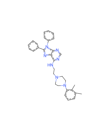 Cc1cccc(N2CCN(CCNc3ncnc4c3nc(-c3ccccc3)n4-c3ccccc3)CC2)c1C